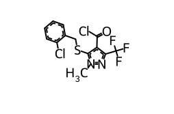 Cn1nc(C(F)(F)F)c(C(=O)Cl)c1SCc1ccccc1Cl